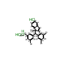 CC1=Cc2ccccc2[C]1([Ti])C(c1cc(C)cc(C)c1)c1cc(C)cc(C)c1.Cl.Cl.Cl